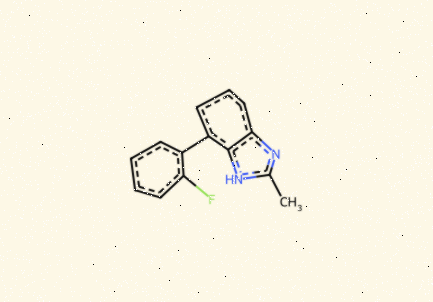 Cc1nc2cccc(-c3ccccc3F)c2[nH]1